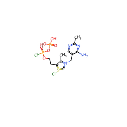 Cc1ncc(C[n+]2csc(CCOP(=O)(Cl)OP(=O)(O)O)c2C)c(N)n1.[Cl-]